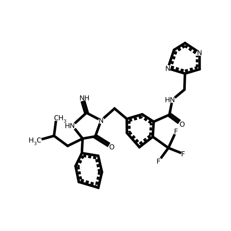 CC(C)CC1(c2ccccc2)NC(=N)N(Cc2ccc(C(F)(F)F)c(C(=O)NCc3cnccn3)c2)C1=O